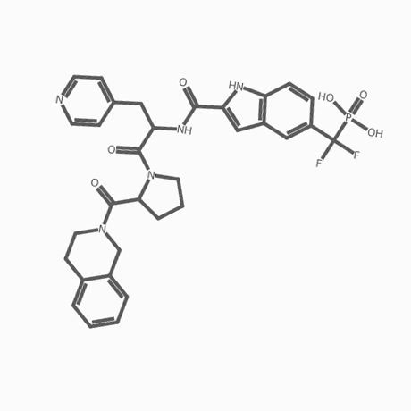 O=C(NC(Cc1ccncc1)C(=O)N1CCCC1C(=O)N1CCc2ccccc2C1)c1cc2cc(C(F)(F)P(=O)(O)O)ccc2[nH]1